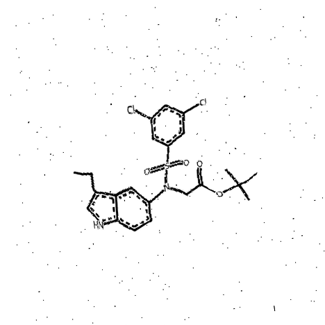 CCc1c[nH]c2ccc(N(CC(=O)OC(C)(C)C)S(=O)(=O)c3cc(Cl)cc(Cl)c3)cc12